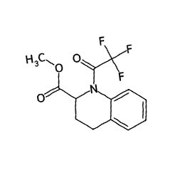 COC(=O)C1CCc2ccccc2N1C(=O)C(F)(F)F